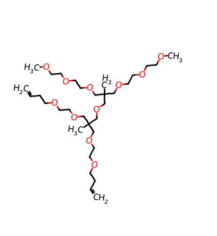 C=CCCOCCOCC(C)(COCCOCCC=C)COCC(C)(COCCOCCOC)COCCOCCOC